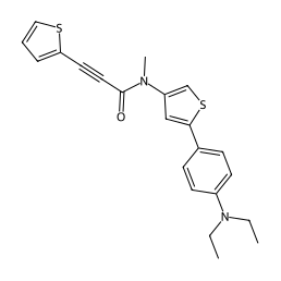 CCN(CC)c1ccc(-c2cc(N(C)C(=O)C#Cc3cccs3)cs2)cc1